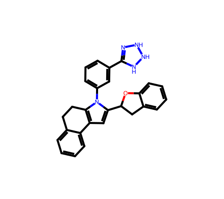 c1cc(C2=NNNN2)cc(-n2c(C3Cc4ccccc4O3)cc3c2CCc2ccccc2-3)c1